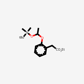 CCOC(=O)Cc1ccccc1OC(C)O[Si](C)(C)C(C)(C)C